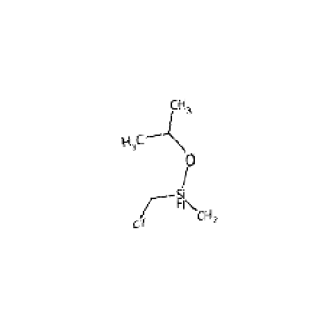 CC(C)O[SiH](C)CCl